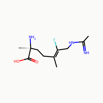 CC(=N)NC/C(F)=C(\C)CC[C@](C)(N)C(=O)O